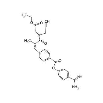 C#CCN(CC(=O)OCC)C(=O)C(C)=Cc1ccc(C(=O)Oc2ccc(C(=N)N)cc2)cc1